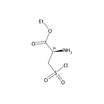 CCOC(=O)[C@@H](N)CS(=O)(=O)Cl